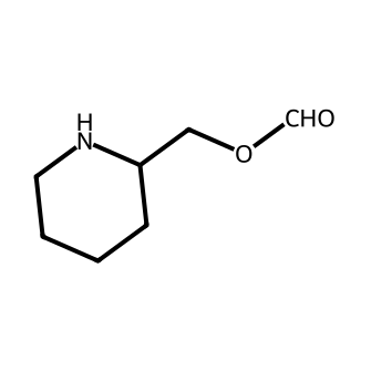 O=COCC1CCCCN1